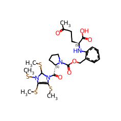 CSC1=C(SC)N(C(=O)[C@@H]2CCCN2C(=O)OCc2ccccc2N[C@@H](CCC(C)=O)C(=O)O)C(SC)N1SC